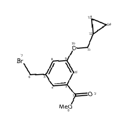 COC(=O)c1cc(CBr)cc(OCC2CC2)c1